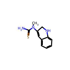 CN(C(N)=S)C1=Cc2ccccc2NC1